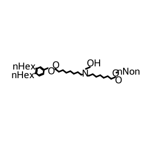 CCCCCCCCCOC(=O)CCCCCCCN(CCO)CCCCCCCC(=O)OCc1ccc(CCCCCC)c(CCCCCC)c1